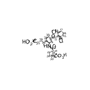 CC1(C)[C@H](C(=O)Nc2cc(OCc3c(Cl)cccc3Cl)ccc2CCCC(=O)O)CC[C@@]1(C)C(=O)O